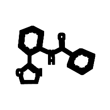 O=C(Nc1ccccc1C1=NCCO1)c1ccccc1